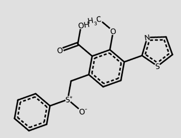 COc1c(-c2nccs2)ccc(C[S+]([O-])c2ccccc2)c1C(=O)O